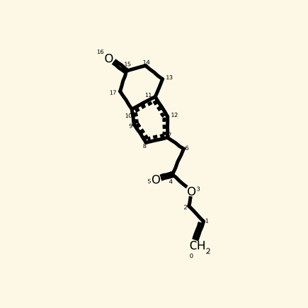 C=CCOC(=O)Cc1ccc2c(c1)CCC(=O)C2